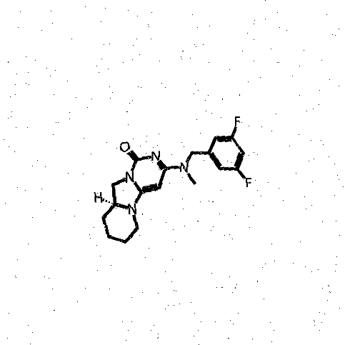 CN(Cc1cc(F)cc(F)c1)c1cc2n(c(=O)n1)C[C@@H]1CCCCN21